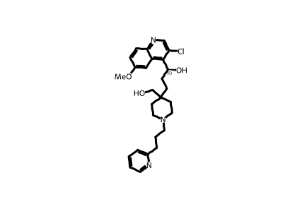 COc1ccc2ncc(Cl)c([C@@H](O)CCC3(CO)CCN(CCCc4ccccn4)CC3)c2c1